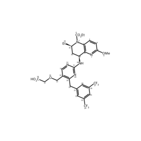 CCOC(=O)N1c2ccc(OC)nc2[C@@H](Nc2ncc(COCC(=O)O)c(Cc3cc(C(F)(F)F)cc(C(F)(F)F)c3)n2)C[C@H]1CC